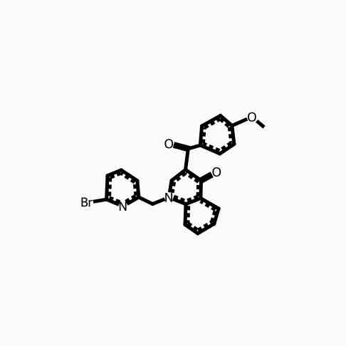 COc1ccc(C(=O)c2cn(Cc3cccc(Br)n3)c3ccccc3c2=O)cc1